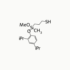 CO[Si](C)(CCCS)Oc1ccc(C(C)C)cc1C(C)C